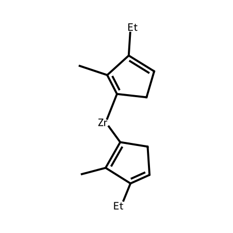 CCC1=CC[C]([Zr][C]2=C(C)C(CC)=CC2)=C1C